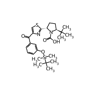 CC(C)(C)[C@@H]1CC[C@@H](c2nc(C(=O)c3cccc(O[Si](C)(C)C(C)(C)C)c3)cs2)N1C(=O)O